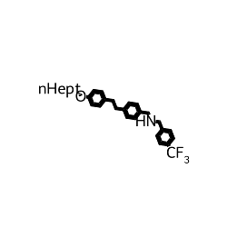 CCCCCCCOc1ccc(CCc2ccc(CNCc3ccc(C(F)(F)F)cc3)cc2)cc1